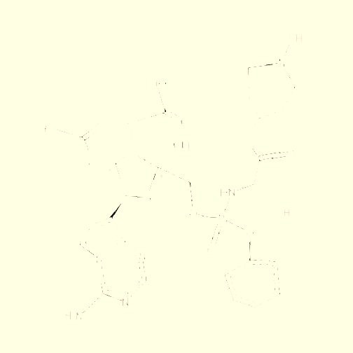 CC(C)C(=O)O[C@H]1[C@H](c2ccc3c(N)ncnn23)O[C@](C)(COP(=O)(N[C@@H](C)C(=O)OC2CCN(C)CC2)Oc2ccccc2)[C@H]1OC(=O)C(C)C